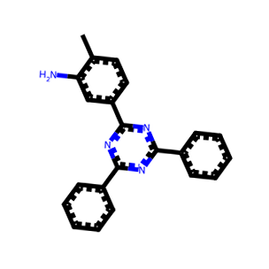 Cc1ccc(-c2nc(-c3ccccc3)nc(-c3ccccc3)n2)cc1N